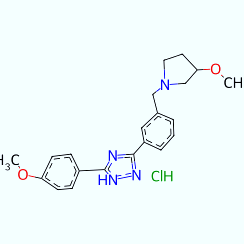 COc1ccc(-c2nc(-c3cccc(CN4CCC(OC)C4)c3)n[nH]2)cc1.Cl